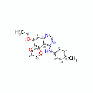 CCOc1cc2ncnc(Nc3ccc(C)cc3)c2c2c1OCCO2